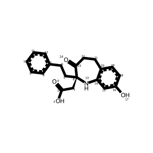 O=C(O)C[C@]1(CCc2ccccc2)Nc2cc(O)ccc2CCC1=O